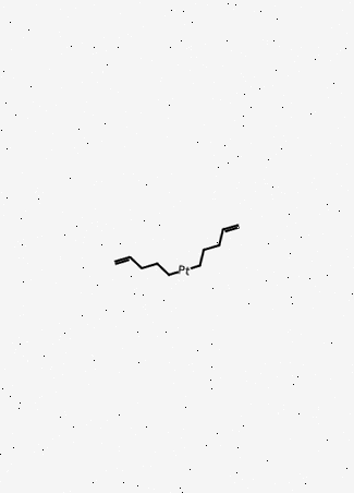 C=CCC[CH2][Pt][CH2]CCC=C